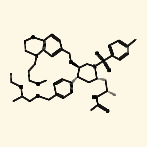 CCOC(C)COCc1ccc([C@H]2C[C@@H](C[C@H](C)NC(C)=O)N(S(=O)(=O)c3ccc(C)cc3)C[C@@H]2OCc2ccc3c(c2)N(CCCOC)CCO3)cc1